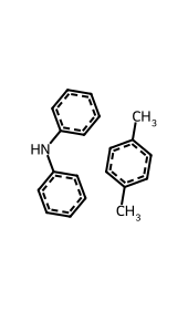 Cc1ccc(C)cc1.c1ccc(Nc2ccccc2)cc1